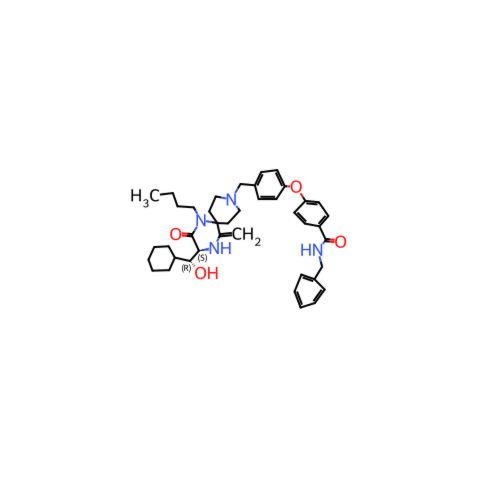 C=C1N[C@@H]([C@H](O)C2CCCCC2)C(=O)N(CCCC)C12CCN(Cc1ccc(Oc3ccc(C(=O)NCc4ccccc4)cc3)cc1)CC2